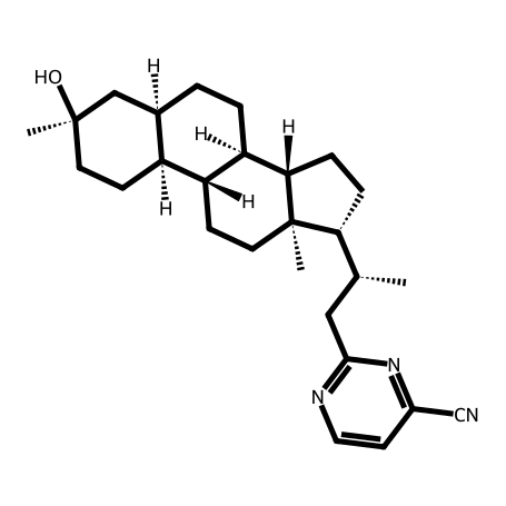 C[C@H](Cc1nccc(C#N)n1)[C@H]1CC[C@H]2[C@@H]3CC[C@@H]4C[C@](C)(O)CC[C@@H]4[C@H]3CC[C@]12C